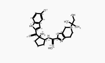 CC(C)(CO)N1CCc2nc(C(=O)NC3CCCC3(N)C(=O)c3cc4cc(Cl)ccc4[nH]3)sc2C1.Cl